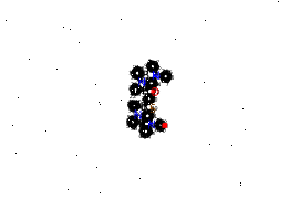 c1ccc(N2c3ccccc3B3c4ccccc4N4c5ccccc5B5c6cc7c(cc6Oc6cc2c3c4c65)Sc2cc3c4c5c2B7c2ccccc2N5c2ccccc2B4c2ccccc2N3c2ccccc2)cc1